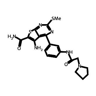 CSc1nc(-c2cccc(NC(=O)CN3CCCC3)c2)c2c(N)c(C(N)=O)sc2n1